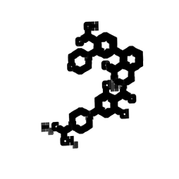 CC(C)N1CCN(c2cc(Cl)c(C(=O)N3Cc4cccc(-c5ccc(C(=O)O)c(N6CCOCC6)c5)c4C(=O)N3)c(Cl)c2)CC1